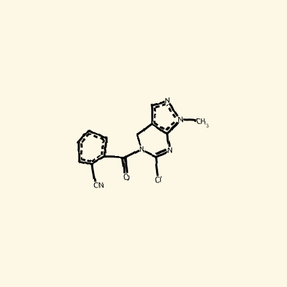 Cn1ncc2c1N=C(Cl)N(C(=O)c1ccccc1C#N)C2